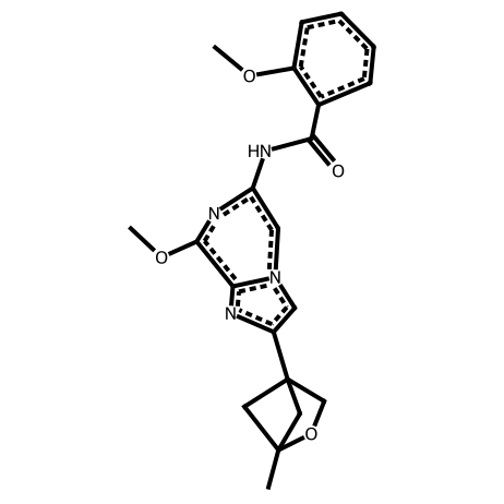 COc1ccccc1C(=O)Nc1cn2cc(C34COC(C)(C3)C4)nc2c(OC)n1